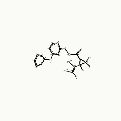 CC1(C)C(C(=O)OCc2cccc(Oc3ccccc3)c2)C1(C)C(Cl)=C(Cl)Cl